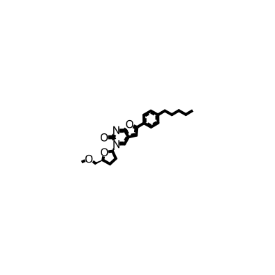 CCCCCc1ccc(-c2cc3cn([C@H]4CC[C@@H](COC)O4)c(=O)nc3o2)cc1